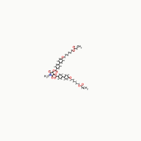 C=CC(=O)OCCCCCCOc1ccc(-c2ccc(C(=O)O[C@H]3C(=O)N(C)C(=O)[C@@H]3OC(=O)c3ccc(-c4ccc(OCCCCCCOC(=O)C=C)cc4)cc3)cc2)cc1